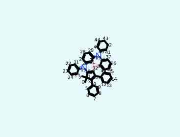 CC1(C)C(c2ccccc2)=C(c2ccccc2)C2=C1N(c1ccccc1)c1cccc3c1B2c1ccccc1N3C1=CCCC=C1